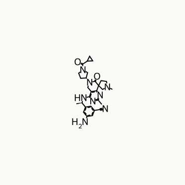 Cc1nc(N[C@H](C)c2cc(N)cc(C#N)c2)c2c(n1)C1(CCN(C)C1)C(=O)N([C@@H]1CCN(C(=O)C3CC3)C1)C2